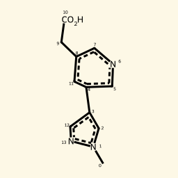 Cn1cc(-c2cncc(CC(=O)O)c2)cn1